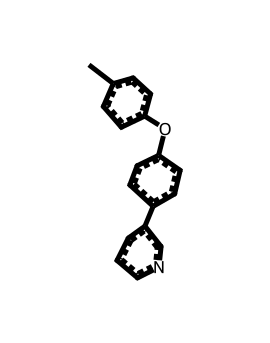 Cc1ccc(Oc2ccc(-c3cccnc3)cc2)cc1